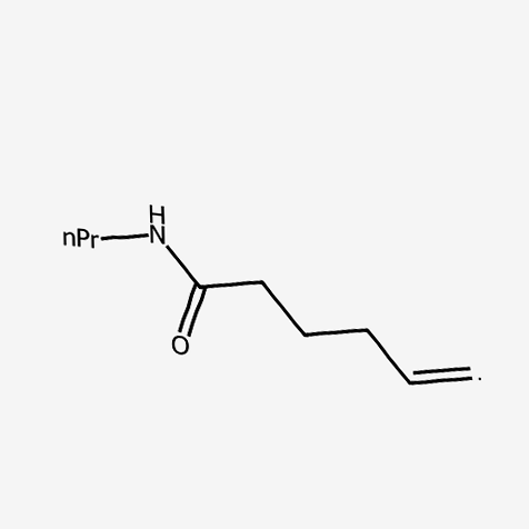 [CH]=CCCCC(=O)NCCC